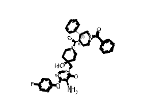 Nc1c(Oc2ccc(F)cc2)ncn(CC2(O)CCN(C(=O)[C@@H]3CCN(C(=O)c4ccccc4)C[C@H]3c3ccccc3)CC2)c1=O